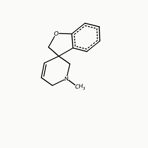 CN1CC=CC2(COc3ccccc32)C1